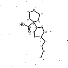 CCCCC1CCC(C2(C(=O)O)CCCCC2)CC1